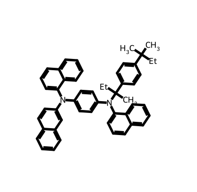 CCC(C)(C)c1ccc(C(C)(CC)N(c2ccc(N(c3ccc4ccccc4c3)c3cccc4ccccc34)cc2)c2cccc3ccccc23)cc1